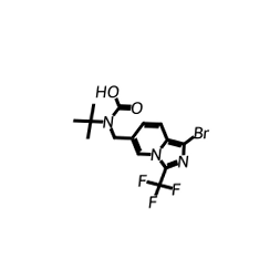 CC(C)(C)N(Cc1ccc2c(Br)nc(C(F)(F)F)n2c1)C(=O)O